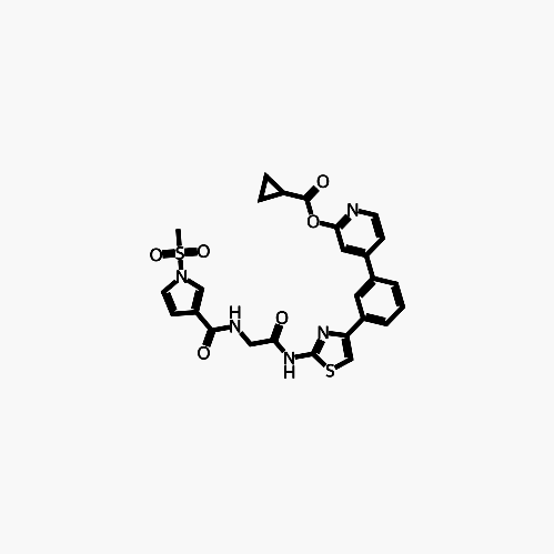 CS(=O)(=O)n1ccc(C(=O)NCC(=O)Nc2nc(-c3cccc(-c4ccnc(OC(=O)C5CC5)c4)c3)cs2)c1